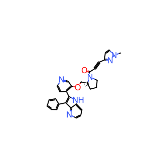 Cn1ccc(C#CC(=O)N2CCC[C@H]2COc2cnccc2-c2[nH]c3cccnc3c2-c2ccccc2)n1